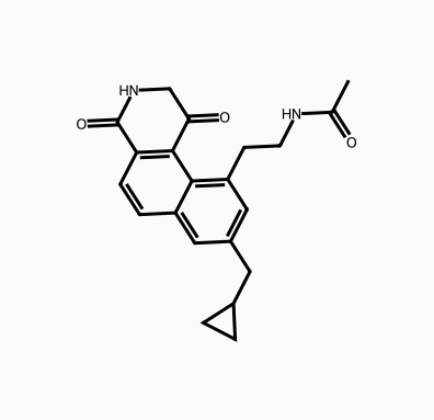 CC(=O)NCCc1cc(CC2CC2)cc2ccc3c(c12)C(=O)CNC3=O